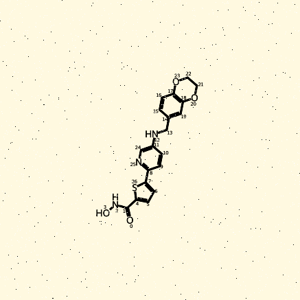 O=C(NO)c1ccc(-c2ccc(NCc3ccc4c(c3)OCCO4)cn2)s1